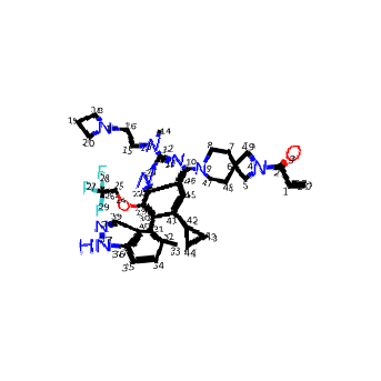 C=CC(=O)N1CC2(CCN(c3nc(N(C)CCN4CCC4)nc4c(OCC(F)(F)F)c(-c5c(C)ccc6[nH]ncc56)c(C5CC5)cc34)CC2)C1